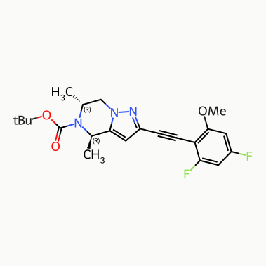 COc1cc(F)cc(F)c1C#Cc1cc2n(n1)C[C@@H](C)N(C(=O)OC(C)(C)C)[C@@H]2C